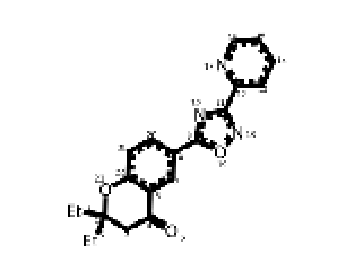 CCC1(CC)CC(=O)c2cc(-c3nc(-c4ccccn4)no3)ccc2O1